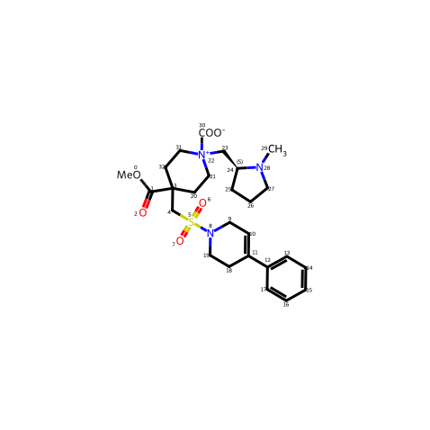 COC(=O)C1(CS(=O)(=O)N2CC=C(c3ccccc3)CC2)CC[N+](C[C@@H]2CCCN2C)(C(=O)[O-])CC1